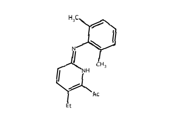 CCc1ccc(=Nc2c(C)cccc2C)[nH]c1C(C)=O